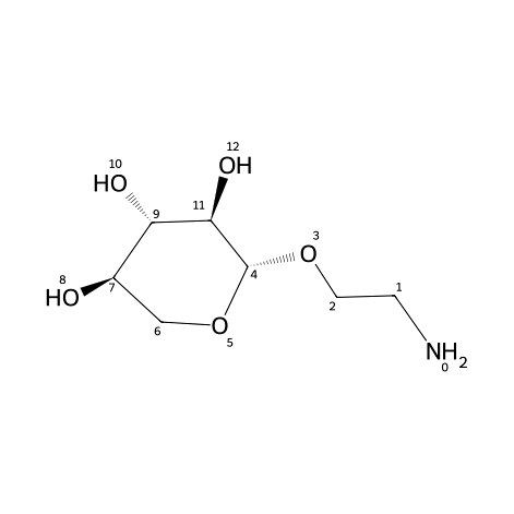 NCCO[C@@H]1OC[C@@H](O)[C@H](O)[C@H]1O